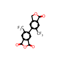 O=C1OCc2cc(-c3cc4c(cc3C(F)(F)F)C(=O)OC4=O)c(C(F)(F)F)cc21